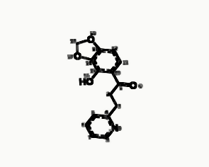 O=C(CCc1ccccn1)c1ccc2c(c1O)OCO2